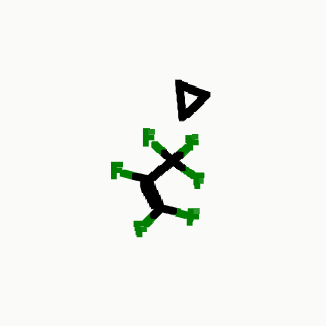 C1CC1.FC(F)=C(F)C(F)(F)F